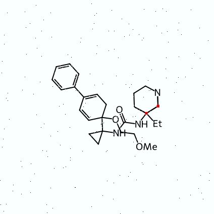 CCC1(NC(=O)NC2(C3(OCCOC)C=CC(c4ccccc4)=CC3)CC2)CN2CCC1CC2